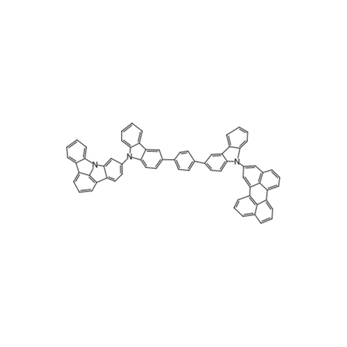 c1cc2cccc3c4cc(-n5c6ccccc6c6cc(-c7ccc(-c8ccc9c(c8)c8ccccc8n9-c8ccc9c%10cccc%11c%12ccccc%12n(c9c8)c%11%10)cc7)ccc65)cc5cccc(c(c1)c23)c54